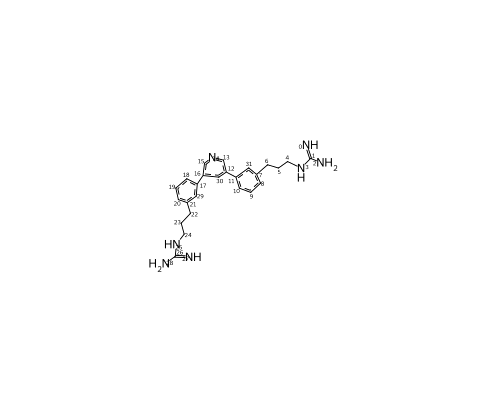 N=C(N)NCCCc1cccc(-c2cncc(-c3cccc(CCCNC(=N)N)c3)c2)c1